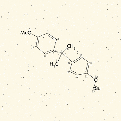 COc1ccc(C(C)(C)c2ccc(OC(C)(C)C)cc2)cc1